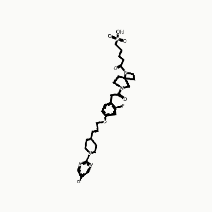 O=C(Cc1ccc(OCCCC2CCN(c3ncc(Cl)cn3)CC2)cc1F)N1CCC2(CCN2C(=O)CCCCS(=O)(=O)O)C1